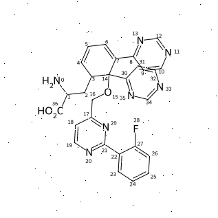 NC(CC1C=CC=C(c2ccncn2)C1(OCc1ccnc(-c2ccccc2F)n1)c1ccncn1)C(=O)O